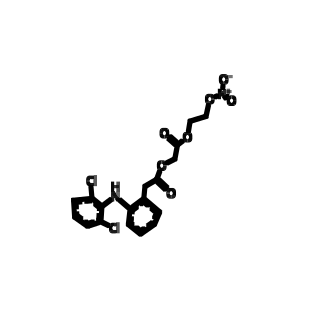 O=C(COC(=O)Cc1ccccc1Nc1c(Cl)cccc1Cl)OCCO[N+](=O)[O-]